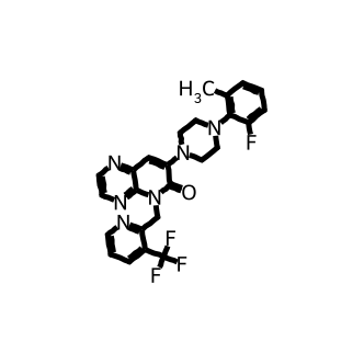 Cc1cccc(F)c1N1CCN(c2cc3nccnc3n(Cc3ncccc3C(F)(F)F)c2=O)CC1